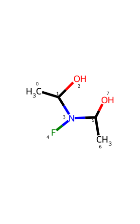 CC(O)N(F)C(C)O